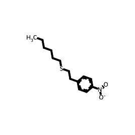 CCCCCCSCCc1ccc([N+](=O)[O-])cc1